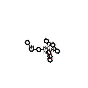 c1ccc(-c2cccc(-n3c4ccccc4c4ccc5c6ccccc6n(-c6nc(-c7ccccc7)nc(-c7ccc(-c8cccc(-c9ccccc9)n8)cc7)n6)c5c43)c2)cc1